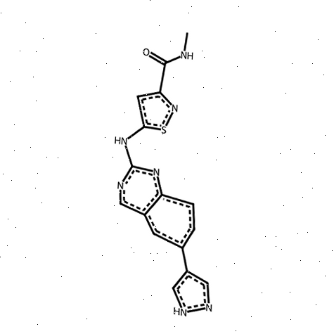 CNC(=O)c1cc(Nc2ncc3cc(-c4cn[nH]c4)ccc3n2)sn1